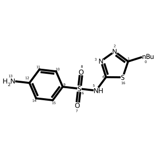 CCCCc1nnc(NS(=O)(=O)c2ccc(N)cc2)s1